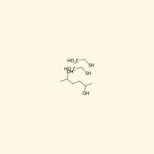 CC(O)CCC(C)O.O=C(O)CS.O=C(O)CS